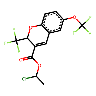 CC(Cl)OC(=O)C1=Cc2cc(OC(F)(F)F)ccc2OC1C(F)(F)F